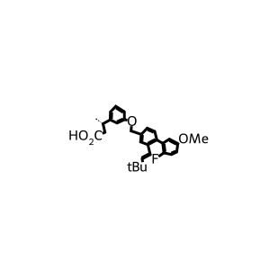 COc1ccc(F)c(-c2ccc(COc3cccc([C@@H](C)CC(=O)O)c3)cc2C=CC(C)(C)C)c1